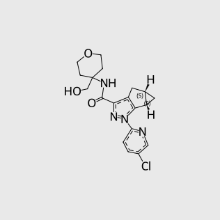 O=C(NC1(CO)CCOCC1)c1nn(-c2ccc(Cl)cn2)c2c1C[C@@H]1C[C@H]21